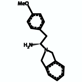 COc1ccc(C[C@@H](N)N2Cc3ccccc3C2)cc1